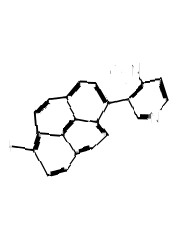 O=[N+]([O-])c1ccncc1-c1ccc2ccc3c(I)ccc4ccc1c2c43